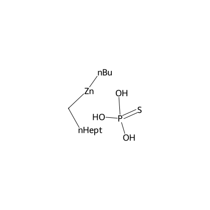 CCCCCCC[CH2][Zn][CH2]CCC.OP(O)(O)=S